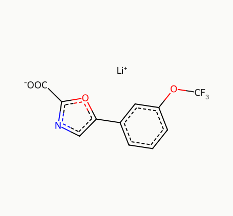 O=C([O-])c1ncc(-c2cccc(OC(F)(F)F)c2)o1.[Li+]